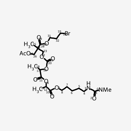 CNC(=O)NCCCCCOC(=O)C(C)OC(=O)C(C)OC(=O)OCC(C)(COC(C)=O)C(=O)OCCCBr